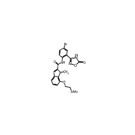 CSCCOc1cccc2cc(C(=O)Nc3ccc(Br)cc3-c3noc(=O)[nH]3)n(C)c12